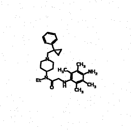 CCN(C(=O)CNc1c(C)c(C)c(N)c(C)c1C)C1CCN(CC2(c3ccccc3)CC2)CC1